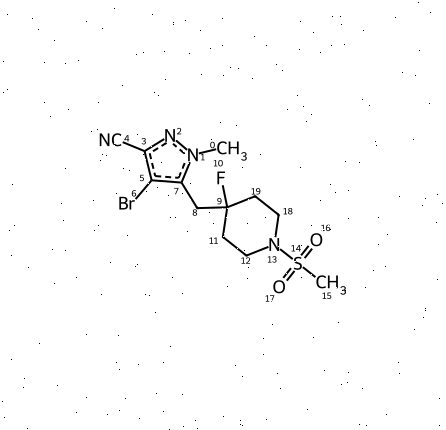 Cn1nc(C#N)c(Br)c1CC1(F)CCN(S(C)(=O)=O)CC1